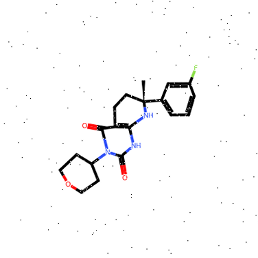 C[C@]1(c2cccc(F)c2)CCc2c([nH]c(=O)n(C3CCOCC3)c2=O)N1